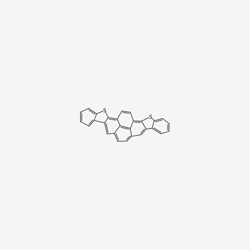 c1ccc2c(c1)sc1c2cc2ccc3cc4c5ccccc5sc4c4ccc1c2c34